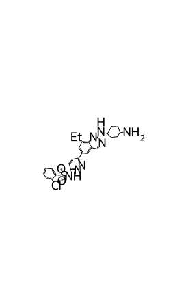 CCc1cc(-c2ccc(NS(=O)(=O)c3ccccc3Cl)nn2)cc2cnc(NC3CCC(N)CC3)nc12